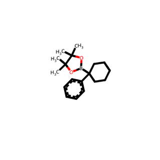 CC1(C)OB(C2(c3ccccc3)CCCCC2)OC1(C)C